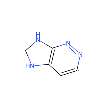 [c]1cc2c(nn1)NCN2